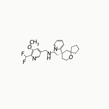 COc1cc(CNCC[C@@]2(c3ccccn3)CCOC3(CCCC3)C2)cnc1C(F)F